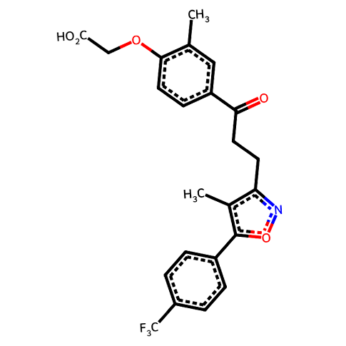 Cc1cc(C(=O)CCc2noc(-c3ccc(C(F)(F)F)cc3)c2C)ccc1OCC(=O)O